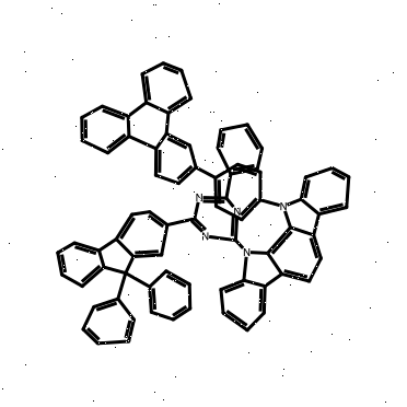 c1ccc(-c2nc(-c3ccc4c(c3)C(c3ccccc3)(c3ccccc3)c3ccccc3-4)nc(-n3c4ccccc4c4ccc5c6ccccc6n(-c6ccc(-c7ccc8c9ccccc9c9ccccc9c8c7)cc6)c5c43)n2)cc1